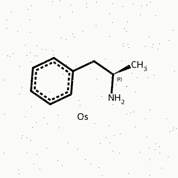 C[C@@H](N)Cc1ccccc1.[Os]